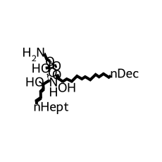 CCCCCCC/C=C/C=C/[C@@H](O)[C@H](COP(=O)(O)OCCN)NC(=O)C(O)CCCCCCCCCCCCCCCCCCCC